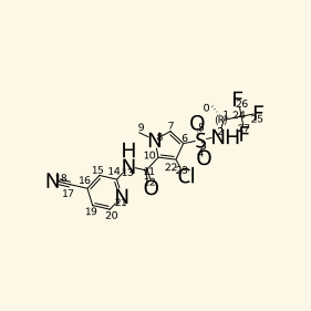 C[C@@H](NS(=O)(=O)c1cn(C)c(C(=O)Nc2cc(C#N)ccn2)c1Cl)C(F)(F)F